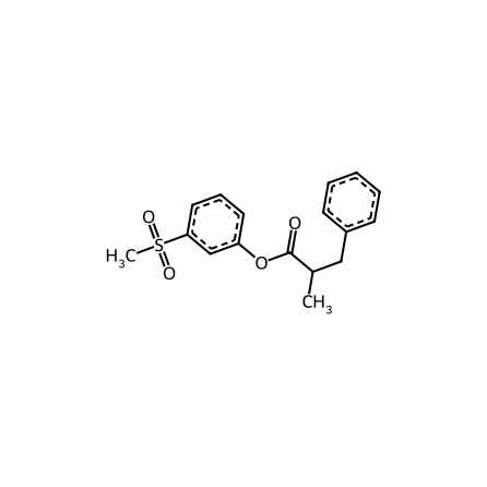 CC(Cc1ccccc1)C(=O)Oc1cccc(S(C)(=O)=O)c1